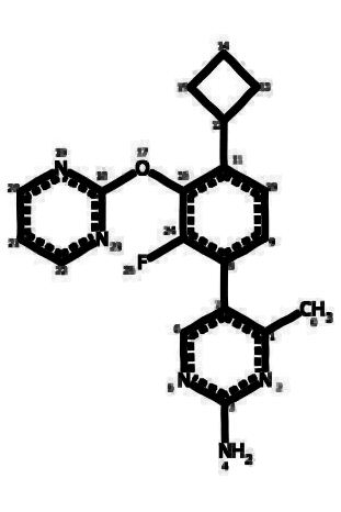 Cc1nc(N)ncc1-c1ccc(C2CCC2)c(Oc2ncccn2)c1F